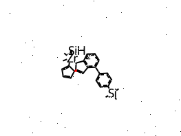 C[Si](C)(C)c1ccc(-c2cccc3c2C=C[CH]3[Zr]([CH3])([CH3])(=[SiH2])[C]2=CC=CC2)cc1